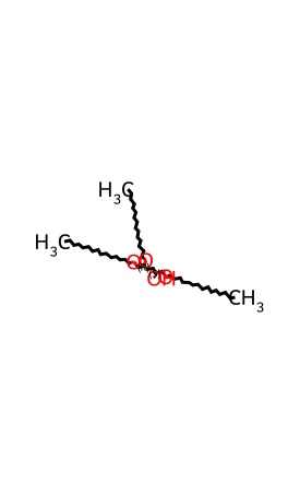 CCCCCCCCCCCCCCCOC[C@@H](O)CC[C@H](COCCCCCCCCCCCCCCC)OCCCCCCCCCCCCCCC